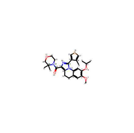 COc1cc2c(cc1OC(C)C)-n1c(-c3cscc3C)nc(C(=O)N3CCOCC3(C)C)c1CC2